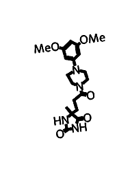 COc1cc(OC)cc(N2CCN(C(=O)CCC3(C)NC(=O)NC3=O)CC2)c1